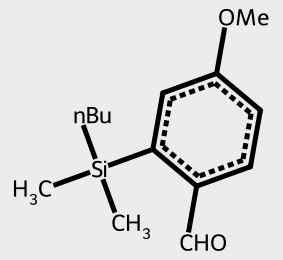 CCCC[Si](C)(C)c1cc(OC)ccc1C=O